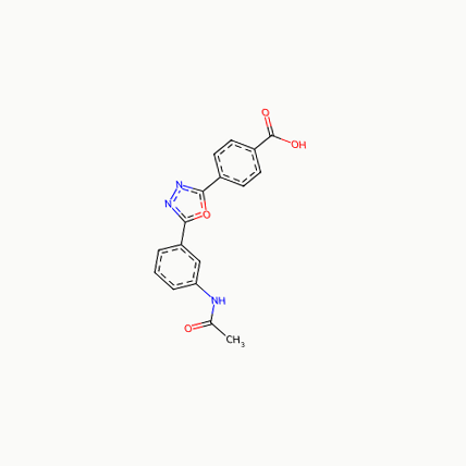 CC(=O)Nc1cccc(-c2nnc(-c3ccc(C(=O)O)cc3)o2)c1